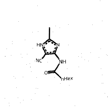 CCCCCCC(=O)Nc1nc(C)[nH]c1C#N